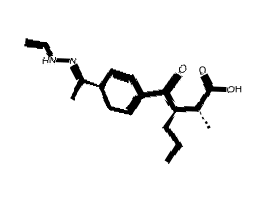 C=CN/N=C(\C)[C@H]1C=CC(C(=O)[C@H](CCC)[C@@H](C)C(=O)O)=CC1